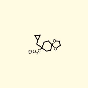 CCOC(=O)C1(CC2CC2)CCC2(CC1)OCCO2